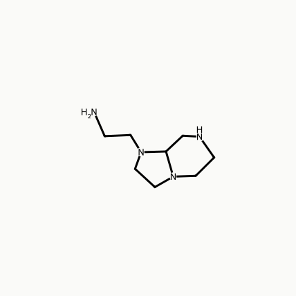 NCCN1CCN2CCNCC12